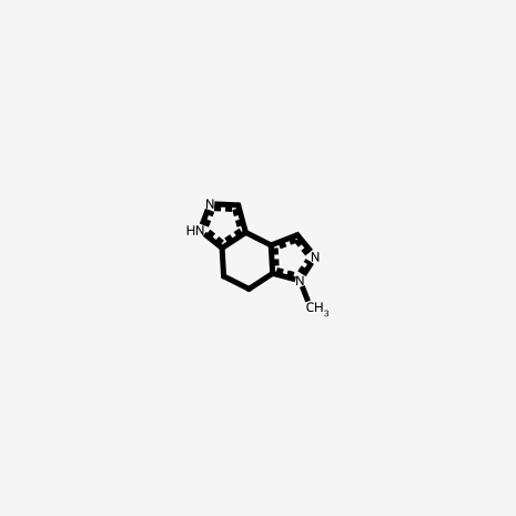 Cn1ncc2c1CCc1[nH]ncc1-2